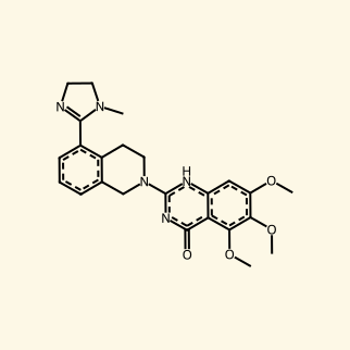 COc1cc2[nH]c(N3CCc4c(cccc4C4=NCCN4C)C3)nc(=O)c2c(OC)c1OC